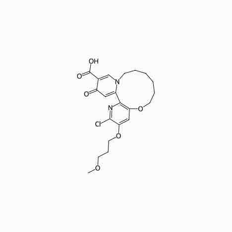 COCCCOc1cc2c(nc1Cl)-c1cc(=O)c(C(=O)O)cn1CCCCCCO2